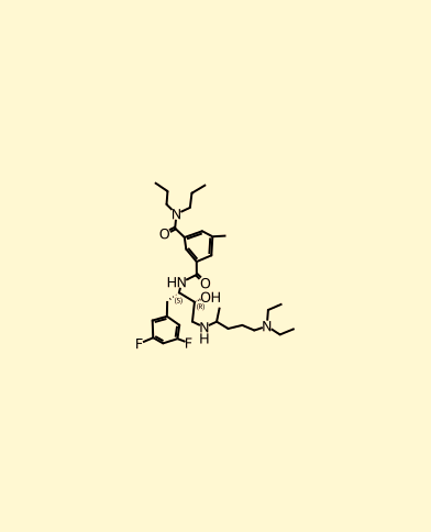 CCCN(CCC)C(=O)c1cc(C)cc(C(=O)N[C@@H](Cc2cc(F)cc(F)c2)[C@H](O)CNC(C)CCCN(CC)CC)c1